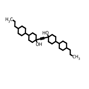 CCCC1CCC(C2CCC(O)(C#CC3(O)CCC(C4CCC(CCC)CC4)CC3)CC2)CC1